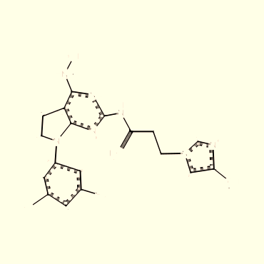 C=C(CCn1cnc(C)c1)Nc1nc(NC)c2c(n1)N(c1cc(F)cc(F)c1)CC2